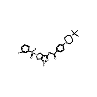 CC(C)(C)N1CCN(c2ccc(C(=O)Nc3n[nH]c4c3CN(S(=O)(=O)c3cccc(F)c3)C4)cc2)CC1